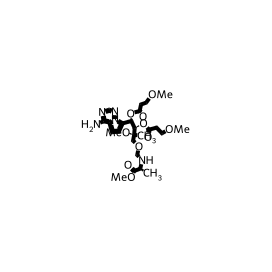 COCCC(=O)O[C@@H](c1ccc2c(N)ncnn12)[C@H](OC(=O)CCOC)[C@@](C)(COCN[C@@H](C)C(=O)OC)OC